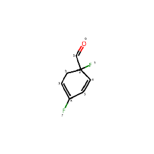 O=CC1(F)C=CC(F)=CC1